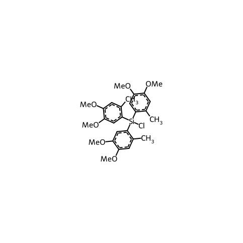 COc1cc(C)c([Si](Cl)(c2cc(OC)c(OC)cc2C)c2cc(OC)c(OC)cc2C)cc1OC